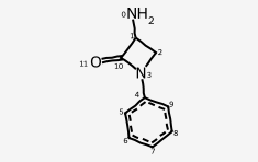 NC1CN(c2ccccc2)C1=O